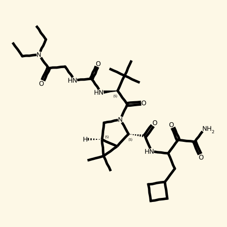 CCN(CC)C(=O)CNC(=O)N[C@H](C(=O)N1C[C@H]2C([C@H]1C(=O)NC(CC1CCC1)C(=O)C(N)=O)C2(C)C)C(C)(C)C